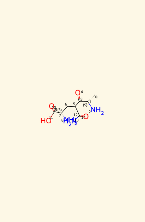 C[C@H](N)C(=O)C(C[C@H](N)C(=O)O)C(N)=O